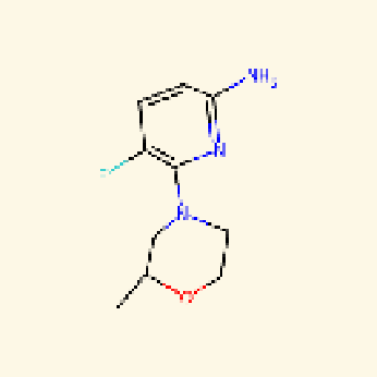 CC1CN(c2nc(N)ccc2F)CCO1